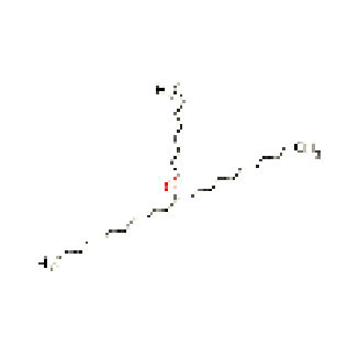 CCCCCCCCCCCC(CCCCCCCCCCC)OCCCCCCCC